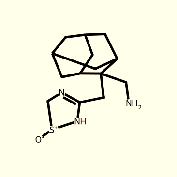 NCC1(CC2=NC[S+]([O-])N2)C2CC3CC(C2)CC1C3